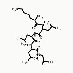 CC(C)CC(NC(=O)C(N)CCCCN)C(=O)NC(CC(C)C)C(=O)NC(CC(C)C)C(=O)NCC(=O)O